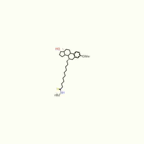 CCCCNC(=S)CCCCCCCCCC[C@@H]1Cc2cc(OC)ccc2C2CC[C@@]3(C)C(CC[C@@H]3O)C21